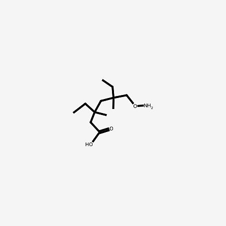 CCC(C)(CON)CC(C)(CC)CC(=O)O